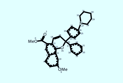 COC(=O)c1cc2ccc(OC)cc2c2c1C=CC(c1ccccc1)(c1ccc(N3CCCCC3)cc1)O2